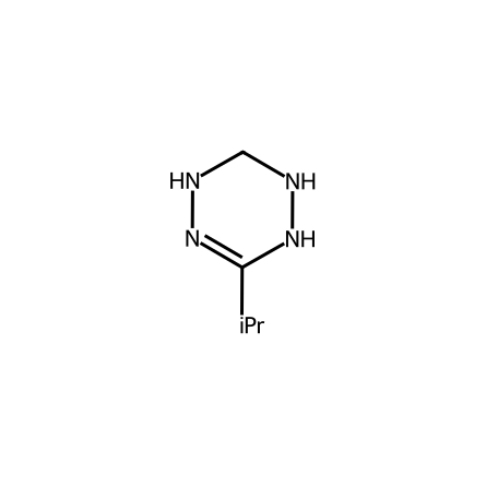 CC(C)C1=NNCNN1